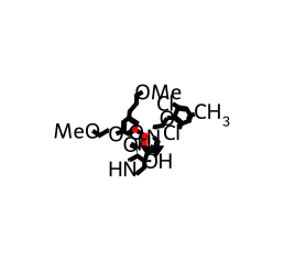 COCCCc1cc(CN(C(=O)[C@H]2CNCC[C@@]2(O)c2ccn(CCOc3c(Cl)cc(C)cc3Cl)c(=O)c2)C2CC2)cc(OCCOC)c1